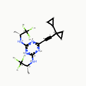 C[C@@H](Nc1nc(C#CC2(C3CC3)CC2)nc(N[C@H](C)C(F)(F)F)n1)C(F)(F)F